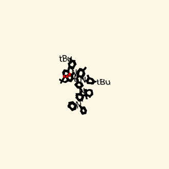 Cc1cc2c3c(c1)N(c1ccc(C(C)(C)C)cc1-c1ccccc1)c1cc4c(cc1B3c1ccc(N3c5ccc(N(c6ccccc6)c6ccccc6)cc5C5(C)CCCCC35C)cc1N2c1ccc(C(C)(C)C)cc1C)CC(C)(C)C4